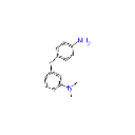 CN(C)c1[c]ccc(Cc2ccc(N)cc2)c1